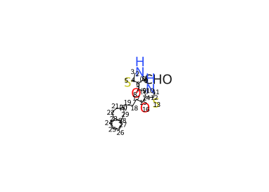 O=C[C@H]1NCC(=S)C1C(=O)[C@H]1NCC(=S)C1C(=O)CCC[C@H]1CCc2ccccc2C1